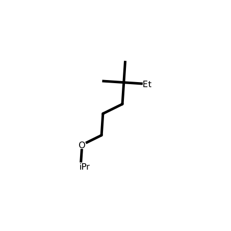 CCC(C)(C)CCCOC(C)C